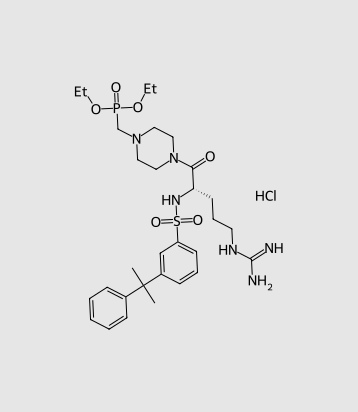 CCOP(=O)(CN1CCN(C(=O)[C@H](CCCNC(=N)N)NS(=O)(=O)c2cccc(C(C)(C)c3ccccc3)c2)CC1)OCC.Cl